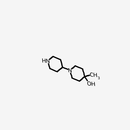 CC1(O)CCN(C2CCNCC2)CC1